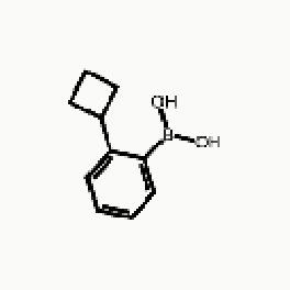 OB(O)c1ccccc1C1CCC1